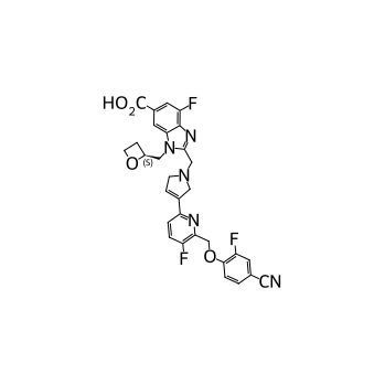 N#Cc1ccc(OCc2nc(C3=CCN(Cc4nc5c(F)cc(C(=O)O)cc5n4C[C@@H]4CCO4)C3)ccc2F)c(F)c1